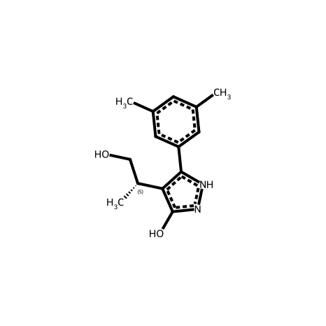 Cc1cc(C)cc(-c2[nH]nc(O)c2[C@H](C)CO)c1